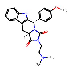 COc1ccc([C@H]2c3[nH]c4ccccc4c3C[C@@H]3C(=O)N(CCN(C)C)C(=O)N23)cc1